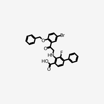 O=C(CNc1c(C(=O)O)ccc(-c2ccccc2)c1F)c1cc(Br)ccc1OCc1ccccc1